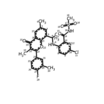 Cc1cc(C(C)Nc2ccc(Cl)nc2C(=O)NS(C)(=O)=O)c2oc(-c3ccc(F)c(C)c3)c(C)c(=O)c2c1